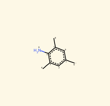 [CH2]c1cc(C)c(N)c(C)c1